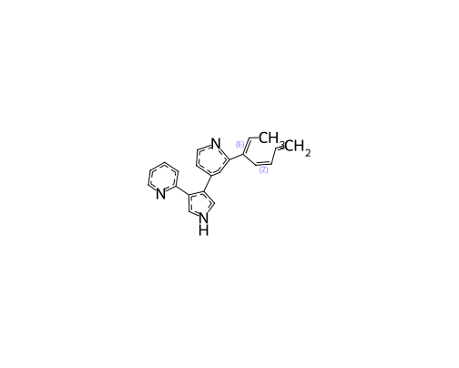 C=C/C=C\C(=C/C)c1cc(-c2c[nH]cc2-c2ccccn2)ccn1